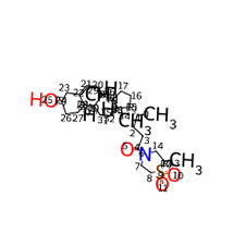 CC(CCC(=O)N1CCS(=O)(=O)[C@H](C)C1)[C@H]1CC[C@H]2[C@@H]3CC=C4C[C@@H](O)CC[C@]4(C)[C@H]3CC[C@]12C